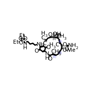 CCOP(=O)(NCCCCNC1=C2C[C@@H](C)C[C@H](OC)[C@H](O)[C@@H](C)/C=C(\C)[C@H](OC(N)=O)[C@@H](OC)/C=C\C=C(/C)C(=O)NC(=CC1=O)C2=O)OCC